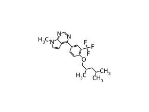 CC(C)CC(C)COc1ccc(-c2ncnc3c2ccn3C)cc1C(F)(F)F